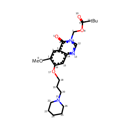 COc1cc2c(=O)n(COC(=O)C(C)(C)C)cnc2cc1OCCCN1CCCCC1